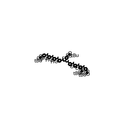 CCC(CC(CC(C)c1ccc(O)c(C(C)c2ccc(O)c(C(C)c3ccc(OC(=O)OC(C)(C)C)c(C(C)c4ccc(OC(=O)OC(C)(C)C)cc4)c3)c2)c1)c1ccc(OC(=O)OC(C)(C)C)cc1)c1ccc(O)c(C(C)c2ccc(O)c(C(C)c3ccc(O)c(C(C)c4ccc(OC(=O)OC(C)(C)C)cc4)c3)c2)c1